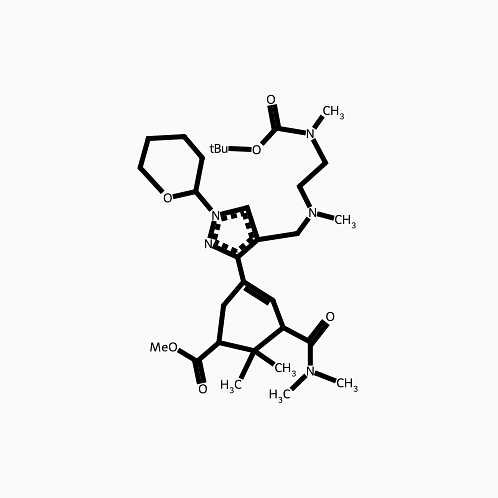 COC(=O)C1CC(c2nn(C3CCCCO3)cc2CN(C)CCN(C)C(=O)OC(C)(C)C)=CC(C(=O)N(C)C)C1(C)C